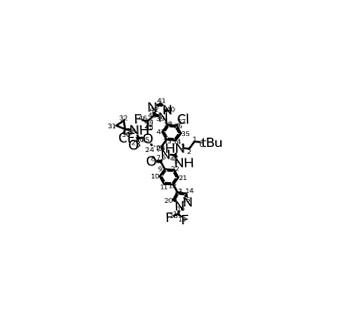 CC(C)(C)CCNC(=N)N(C(=O)c1ccc(-c2cnn(C(F)F)c2)cc1)[C@H](COC(=O)NC1(C(F)(F)F)CC1)c1ccc(Cl)c(-n2ncnc2C(F)F)c1